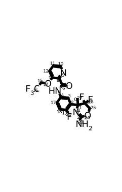 CC1(c2cc(NC(=O)c3ncccc3OCC(F)(F)F)ccc2F)N=C(N)OCC1(F)F